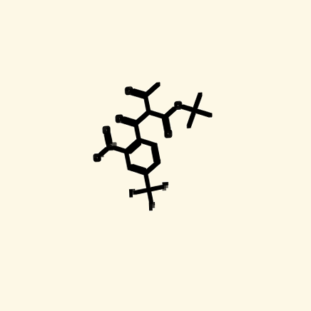 CC(=O)C(C(=O)OC(C)(C)C)C(=O)c1ccc(C(F)(F)F)cc1[N+](=O)[O-]